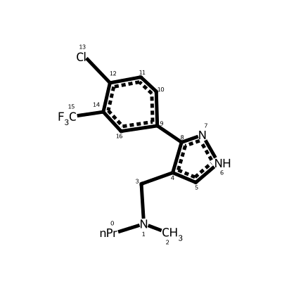 CCCN(C)Cc1c[nH]nc1-c1ccc(Cl)c(C(F)(F)F)c1